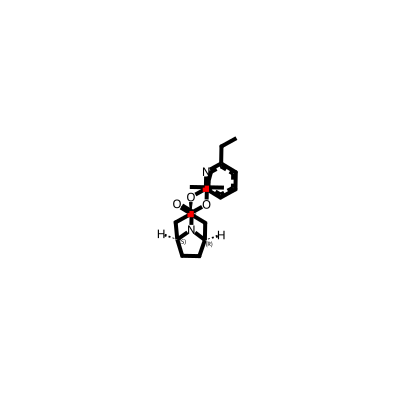 CCc1cccc(O[C@H]2C[C@H]3CC[C@@H](C2)N3C(=O)OC(C)(C)C)n1